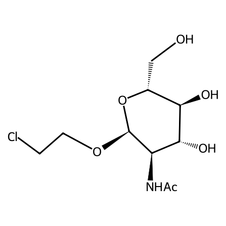 CC(=O)N[C@H]1[C@@H](OCCCl)O[C@H](CO)[C@@H](O)[C@@H]1O